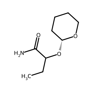 CCC(O[C@@H]1CCCCO1)C(N)=O